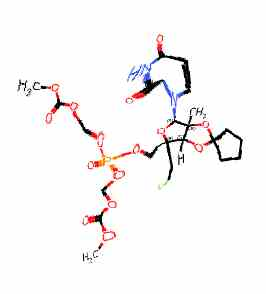 COC(=O)OCOP(=O)(OCOC(=O)OC)OC[C@@]1(CF)O[C@@H](n2ccc(=O)[nH]c2=O)[C@]2(C)OC3(CCCC3)O[C@H]12